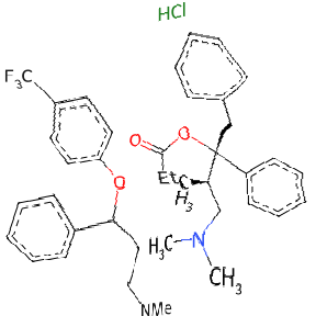 CCC(=O)O[C@](Cc1ccccc1)(c1ccccc1)[C@H](C)CN(C)C.CNCCC(Oc1ccc(C(F)(F)F)cc1)c1ccccc1.Cl